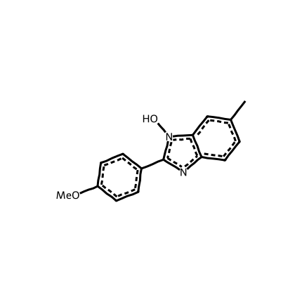 COc1ccc(-c2nc3ccc(C)cc3n2O)cc1